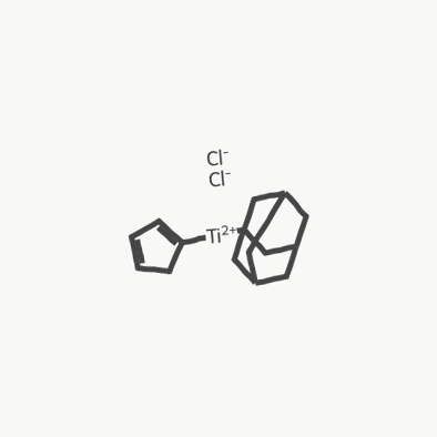 C1=CC[C]([Ti+2][C]23CC4CC(CC(C4)C2)C3)=C1.[Cl-].[Cl-]